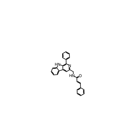 O=C(/C=C/c1ccccc1)NCc1cc2c([nH]c3ccccc32)c(-c2ccccc2)n1